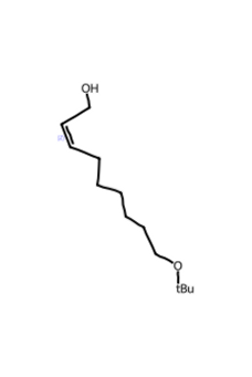 CC(C)(C)OCCCCCC/C=C\CO